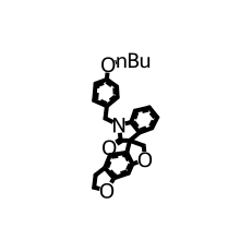 CCCCOc1ccc(CN2C(=O)C3(COc4cc5c(cc43)CCO5)c3ccccc32)cc1